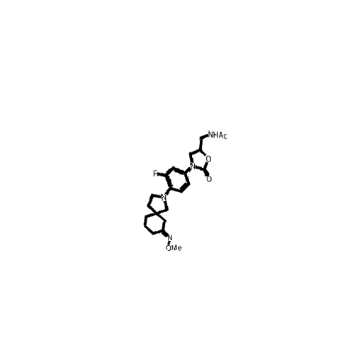 CON=C1CCCC2(CCN(c3ccc(N4CC(CNC(C)=O)OC4=O)cc3F)C2)C1